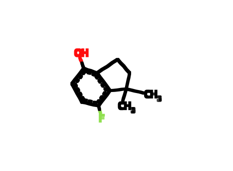 CC1(C)CCc2c(O)ccc(F)c21